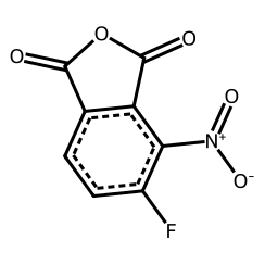 O=C1OC(=O)c2c1ccc(F)c2[N+](=O)[O-]